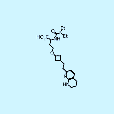 CCN(CC)C(=O)NC(CCOC1CC(CCc2ccc3c(n2)NCCC3)C1)C(=O)O